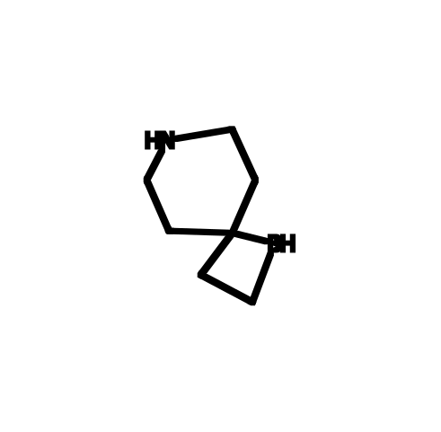 B1CCC12CCNCC2